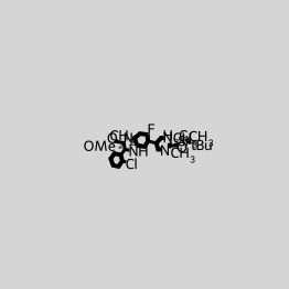 C=CCC(Nc1cc(-c2cnc(C(C)(C)O[Si](C)(C)C(C)(C)C)nc2)c(F)cc1[N+](=O)[O-])c1c(Cl)cccc1OC